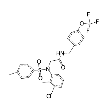 Cc1ccc(S(=O)(=O)N(CC(=O)NCc2ccc(OC(F)(F)F)cc2)c2cccc(Cl)c2C)cc1